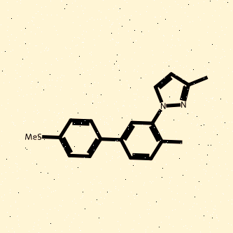 CSc1ccc(-c2ccc(C)c(-n3ccc(C)n3)c2)cc1